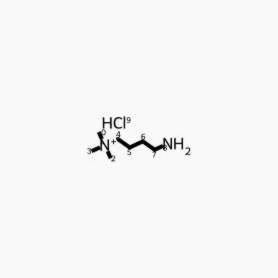 C[N+](C)(C)CCCCN.Cl